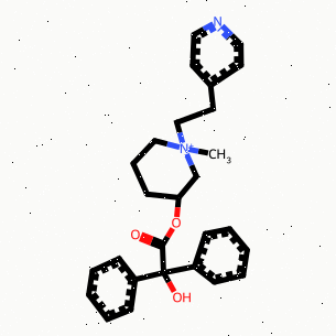 C[N+]1(CCc2ccncc2)CCCC(OC(=O)C(O)(c2ccccc2)c2ccccc2)C1